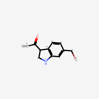 O=CC(=O)C1CNc2cc(CBr)ccc21